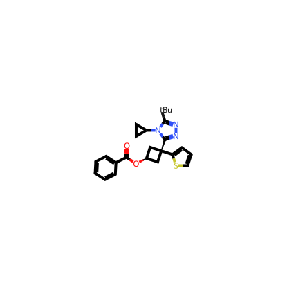 CC(C)(C)c1nnc([C@]2(c3cccs3)C[C@H](OC(=O)c3ccccc3)C2)n1C1CC1